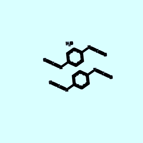 O.O=C=Nc1ccc(N=C=O)cc1.O=C=Nc1ccc(N=C=O)cc1